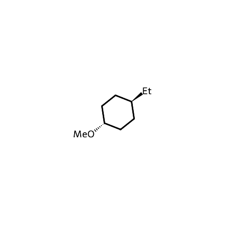 CC[C@H]1CC[C@H](OC)CC1